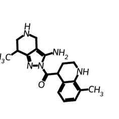 Cc1cccc2c1NCCC2C(=O)n1nc2c(c1N)CNCC2C